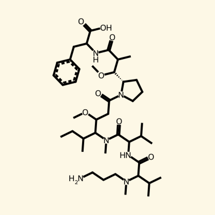 CCC(C)C(C(CC(=O)N1CCC[C@H]1C(OC)C(C)C(=O)NC(Cc1ccccc1)C(=O)O)OC)N(C)C(=O)C(NC(=O)C(C(C)C)N(C)CCCN)C(C)C